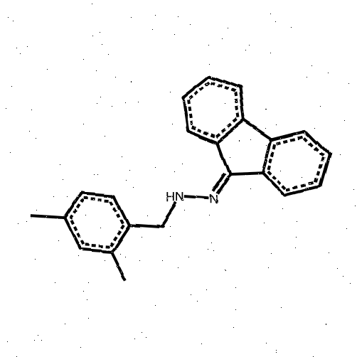 Cc1ccc(CNN=C2c3ccccc3-c3ccccc32)c(C)c1